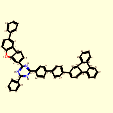 c1ccc(-c2ccc3oc4cc(-c5nc(-c6ccccc6)nc(-c6ccc(-c7ccc(-c8ccc9c%10ccccc%10c%10ccccc%10c9c8)cc7)cc6)n5)ccc4c3c2)cc1